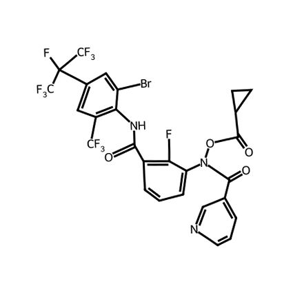 O=C(Nc1c(Br)cc(C(F)(C(F)(F)F)C(F)(F)F)cc1C(F)(F)F)c1cccc(N(OC(=O)C2CC2)C(=O)c2cccnc2)c1F